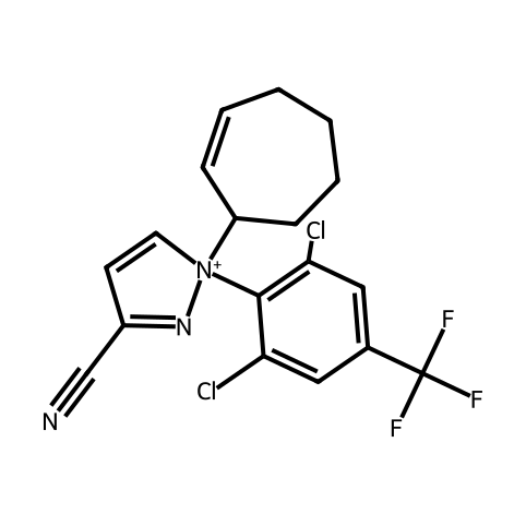 N#CC1=N[N+](c2c(Cl)cc(C(F)(F)F)cc2Cl)(C2C=CCCCC2)C=C1